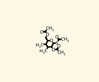 CC(=O)OCC1OC(SC(C)=O)C(OC(C)=O)C(C)C1C